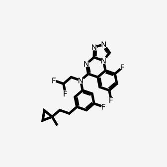 CC1(CCc2cc(F)cc(N(CC(F)F)c3nc4nncn4c4c(F)cc(F)cc34)c2)CC1